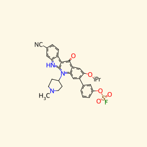 CC(C)Oc1cc2c(=O)c3c4ccc(C#N)cc4[nH]c3n(C3CCN(C)CC3)c2cc1-c1cccc(OS(=O)(=O)F)c1